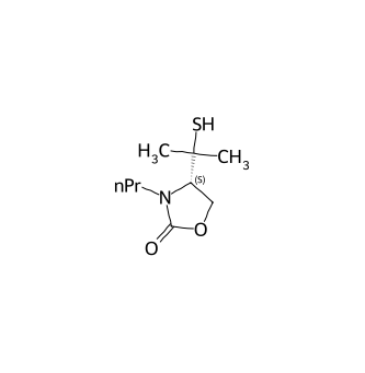 [CH2]CCN1C(=O)OC[C@H]1C(C)(C)S